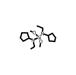 CCN(C1CCCC1)[Si](OC)(OC)N(CC)C1CCCC1